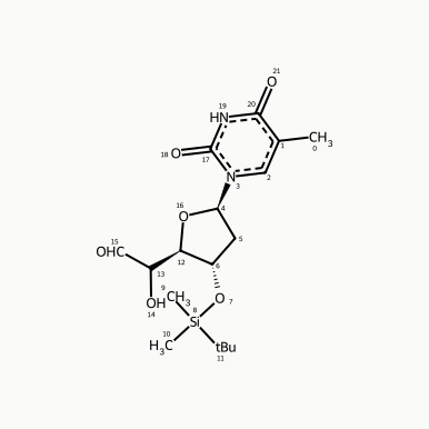 Cc1cn([C@H]2C[C@H](O[Si](C)(C)C(C)(C)C)[C@@H](C(O)C=O)O2)c(=O)[nH]c1=O